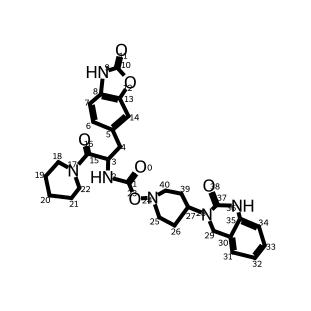 O=C(NC(Cc1ccc2[nH]c(=O)oc2c1)C(=O)N1CCCCC1)ON1CCC(N2Cc3ccccc3NC2=O)CC1